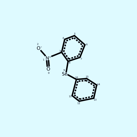 O=[N+]([O-])c1ccccc1[Se]c1ccccc1